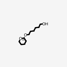 OCCCCCCO[C@@H]1CCCCO1